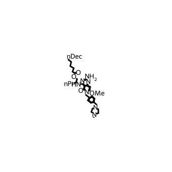 CCCCCCCCCCCCCCCC(=O)OCC(CCC)Nc1nc(N)nc2ccn(Cc3ccc(CN4CCN(C)CC4)cc3OC)c(=O)c12